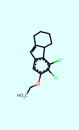 O=C(O)COc1cc2c(c(Cl)c1Cl)C1CCCCC1=C2